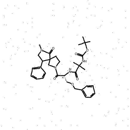 CN1CC(c2ccccc2)C2(CCN(C(=O)[C@@H](COCc3ccccc3)NC(=O)C(C)(C)NC(=O)OC(C)(C)C)C2)C1=O